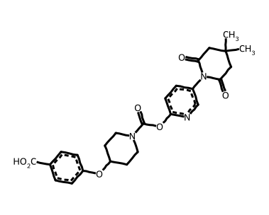 CC1(C)CC(=O)N(c2ccc(OC(=O)N3CCC(Oc4ccc(C(=O)O)cc4)CC3)nc2)C(=O)C1